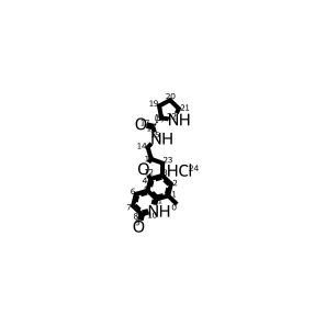 Cc1cc2c(c3ccc(=O)[nH]c13)OC(CNC(=O)[C@@H]1CCCN1)C2.Cl